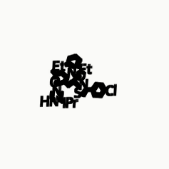 CCc1cccc(CC)c1-n1c(C=C(C)C)c(C(=O)N2CCNC(C(C)C)C2)cc(-c2nc(-c3ccc(Cl)cc3)cs2)c1=O